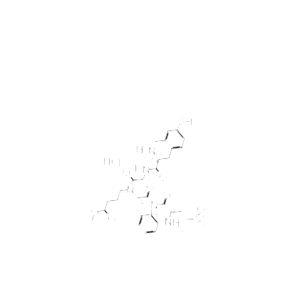 COC(=O)CCCN(C(=O)CNC(=O)[C@@H](N)Cc1c(C)cc(O)cc1C)[C@@H](Cc1ccccc1)C(=O)NC(=O)C(N)CC[S+](C)[O-].Cl